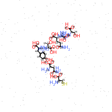 C[C@@H](O)[C@H](N)C(=O)O.NC(=O)CC[C@H](N)C(=O)O.NC(=O)C[C@H](N)C(=O)O.NCC(=O)O.N[C@@H](CO)C(=O)O.N[C@@H](CS)C(=O)O.N[C@@H](Cc1ccc(O)cc1)C(=O)O